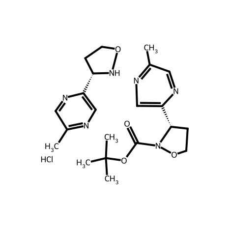 Cc1cnc([C@@H]2CCON2)cn1.Cc1cnc([C@@H]2CCON2C(=O)OC(C)(C)C)cn1.Cl